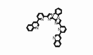 c1cc(-c2cnc3ccccc3c2)nc(-c2cn3c4ccccc4n4cc(-c5cccc(-c6cnc7ccccc7c6)n5)nc4c3n2)c1